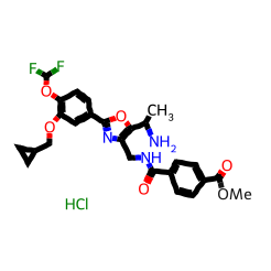 COC(=O)c1ccc(C(=O)NCc2nc(-c3ccc(OC(F)F)c(OCC4CC4)c3)oc2C(C)N)cc1.Cl